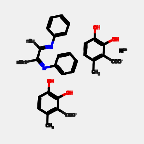 CCCCCCCCC(=Nc1ccccc1)C(CCCC)=Nc1ccccc1.Cc1ccc(O)c(O)c1C(=O)[O-].Cc1ccc(O)c(O)c1C(=O)[O-].[Ni+2]